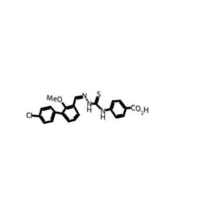 COc1c(/C=N\NC(=S)Nc2ccc(C(=O)O)cc2)cccc1-c1ccc(Cl)cc1